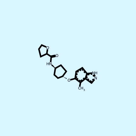 Cc1c(O[C@H]2CC[C@H](NC(=O)C3CCCO3)CC2)ccc2[nH]ncc12